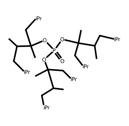 CC(C)CC(C)C(C)(CC(C)C)OP(=O)(OC(C)(CC(C)C)C(C)CC(C)C)OC(C)(CC(C)C)C(C)CC(C)C